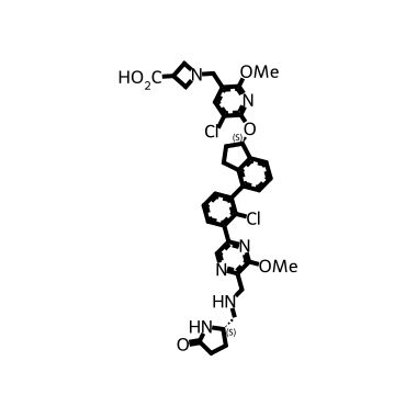 COc1nc(O[C@H]2CCc3c(-c4cccc(-c5cnc(CNC[C@@H]6CCC(=O)N6)c(OC)n5)c4Cl)cccc32)c(Cl)cc1CN1CC(C(=O)O)C1